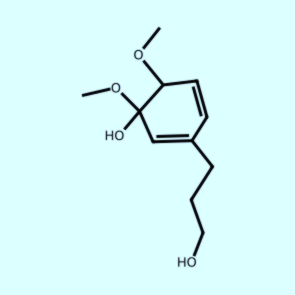 COC1C=CC(CCCO)=CC1(O)OC